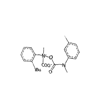 CCC(C)c1ccccc1[N+](C)(OC(=O)N(C)c1cccc(C)c1)C(=O)[O-]